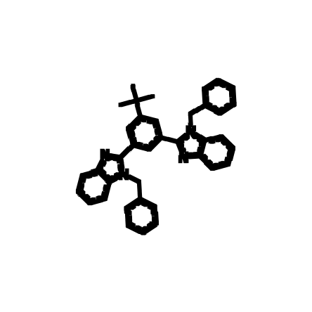 CC(C)(C)c1cc(-c2nc3ccccc3n2Cc2ccccc2)cc(-c2nc3ccccc3n2Cc2ccccc2)c1